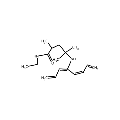 C=C/C=C\C(=C/C=C)NC(C)(C)CC(C)C(=O)NCC